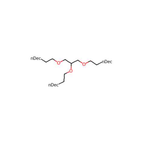 CCCCCCCCCCCCOCC(COCCCCCCCCCCCC)OCCCCCCCCCCCC